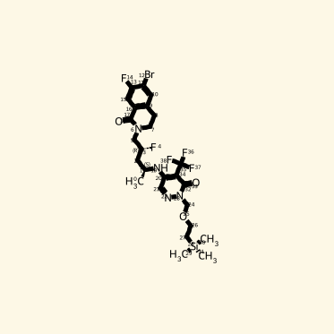 C[C@@H](C[C@@H](F)CN1CCc2cc(Br)c(F)cc2C1=O)Nc1cnn(COCC[Si](C)(C)C)c(=O)c1C(F)(F)F